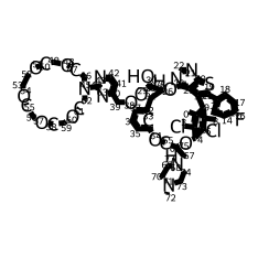 Cc1c(Cl)c2c(Cl)c(C)c1-c1c(-c3ccc(F)cc3)sc3ncnc(c13)O[C@@H](C(=O)O)Cc1cc(ccc1OCc1ccnc(N3CCOCCOCCOCCOCCOCC3)n1)OC[C@@H](CN1CCN(C)CC1)O2